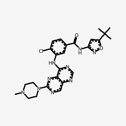 CN1CCN(c2ncc3ncnc(Nc4cc(C(=O)Nc5cc(C(C)(C)C)on5)ccc4Cl)c3n2)CC1